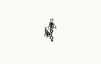 CC(C)(C)C1CCC(N(Cc2ccc(C(=O)Nc3nn[nH]n3)cc2)C(=O)Cc2cc(F)ccc2C(F)(F)F)CC1